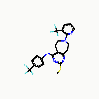 CSc1nc2c(c(Nc3ccc(C(F)(F)F)cc3)n1)CCN(c1ncccc1C(F)(F)F)CC2